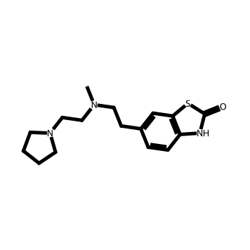 CN(CCc1ccc2[nH]c(=O)sc2c1)CCN1CCCC1